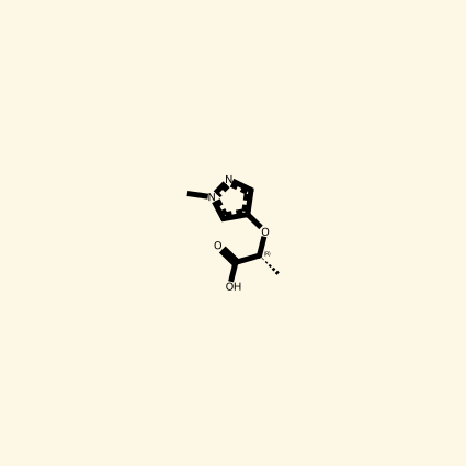 C[C@@H](Oc1cnn(C)c1)C(=O)O